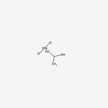 CC(O)O.[Cl][Mg][Cl]